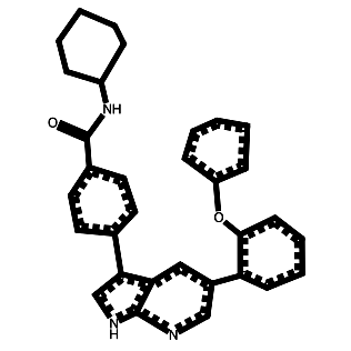 O=C(NC1CCCCC1)c1ccc(-c2c[nH]c3ncc(-c4ccccc4Oc4ccccc4)cc23)cc1